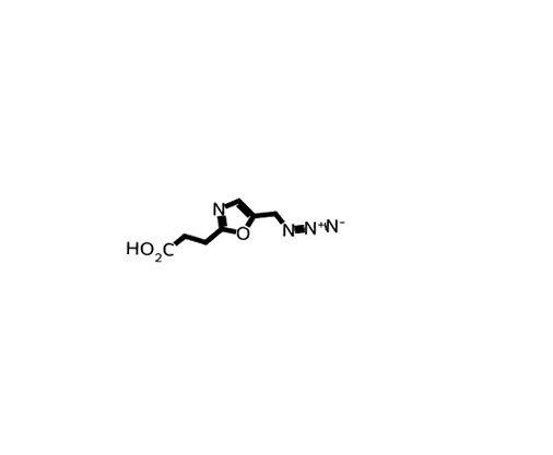 [N-]=[N+]=NCc1cnc(CCC(=O)O)o1